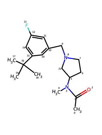 CC(=O)N(C)C1CCN(Cc2cc(F)cc(C(C)(C)C)c2)C1